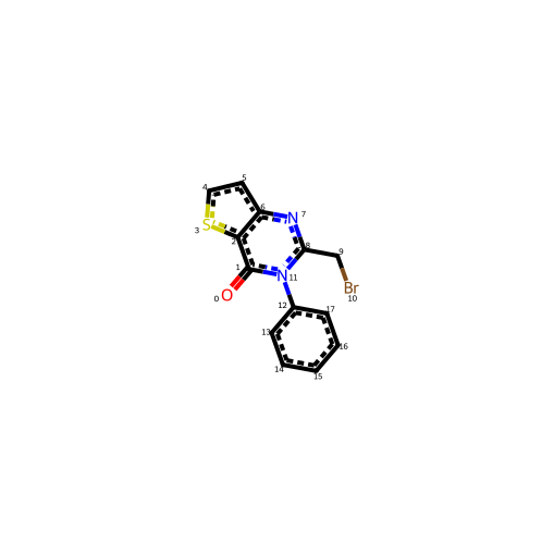 O=c1c2sccc2nc(CBr)n1-c1ccccc1